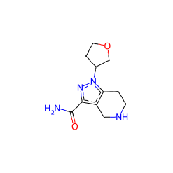 NC(=O)c1nn(C2CCOC2)c2c1CNCC2